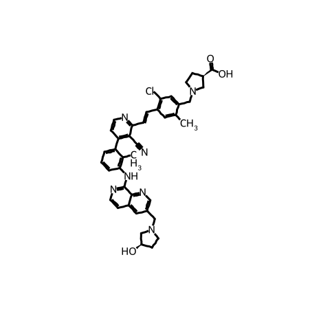 Cc1cc(/C=C/c2nccc(-c3cccc(Nc4nccc5cc(CN6CC[C@@H](O)C6)cnc45)c3C)c2C#N)c(Cl)cc1CN1CC[C@@H](C(=O)O)C1